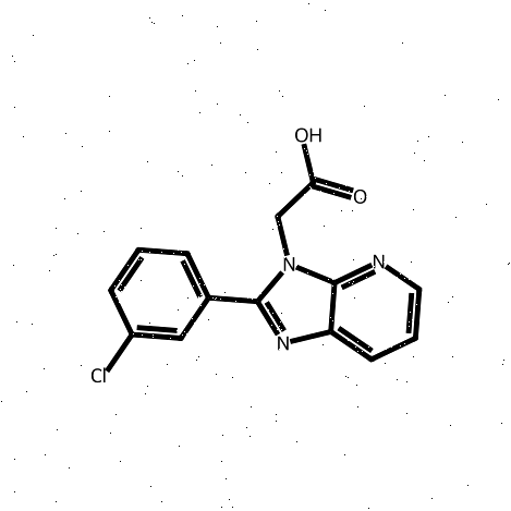 O=C(O)Cn1c(-c2cccc(Cl)c2)nc2cccnc21